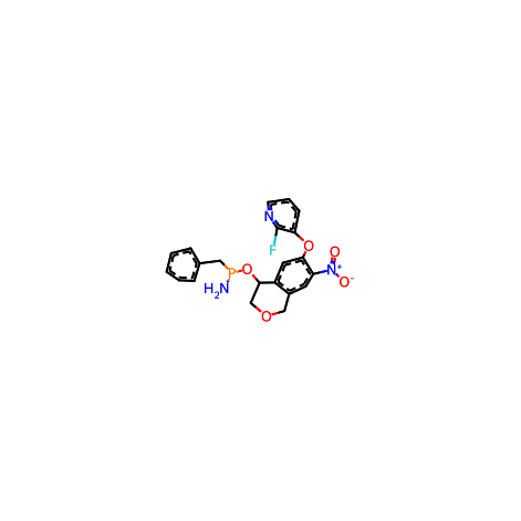 NP(Cc1ccccc1)OC1COCc2cc([N+](=O)[O-])c(Oc3cccnc3F)cc21